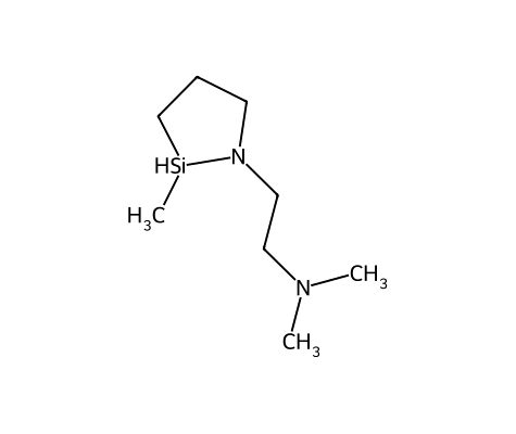 CN(C)CCN1CCC[SiH]1C